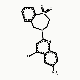 O=[N+]([O-])c1ccc2nc(N3CCS(=O)(=O)c4ccccc4C3)cc(Cl)c2c1